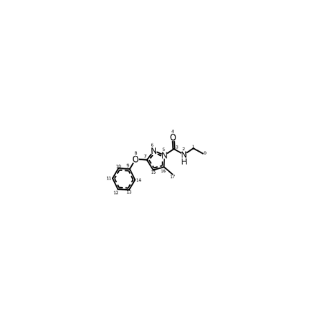 CCNC(=O)n1nc(Oc2ccccc2)cc1C